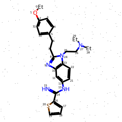 CCOc1ccc(CCc2nc3cc(NC(=N)c4cccs4)ccc3n2CCN(CC)CC)cc1